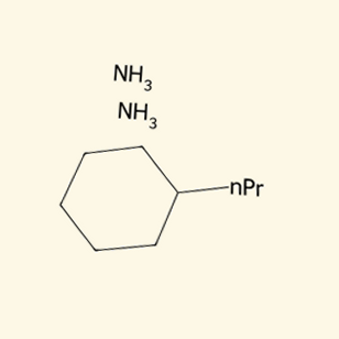 CCCC1CCCCC1.N.N